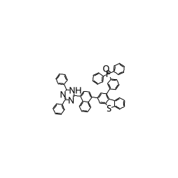 O=P(c1ccccc1)(c1ccccc1)c1cccc(-c2cc(-c3ccc(C4=NC(c5ccccc5)=NC(c5ccccc5)N4)c4ccccc34)cc3sc4ccccc4c23)c1